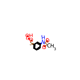 CS(=O)(=O)Nc1cccc(SOOO)c1